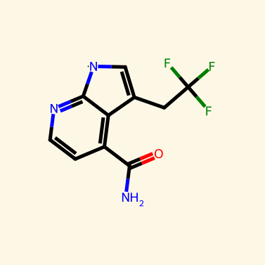 NC(=O)c1ccnc2c1C(CC(F)(F)F)=C[N]2